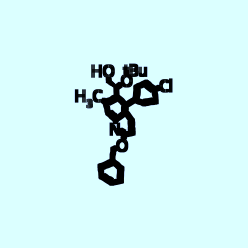 Cc1cc2nc(OCc3ccccc3)ccc2c(-c2ccc(Cl)cc2)c1[C@@H](CO)OC(C)(C)C